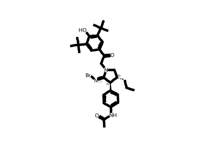 CCC[C@H]1CN(CC(=O)c2cc(C(C)(C)C)c(O)c(C(C)(C)C)c2)/C(=N\Br)[C@@H]1c1ccc(NC(C)=O)cc1